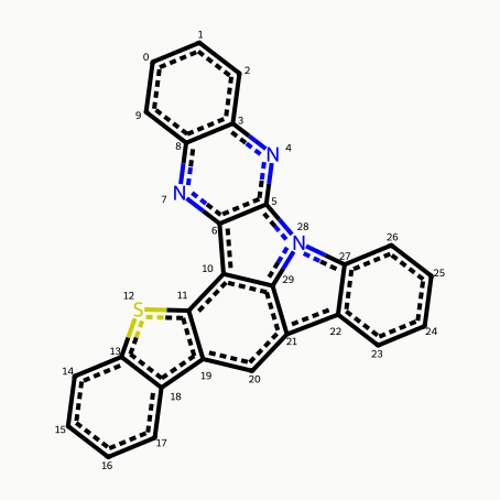 c1ccc2nc3c(nc2c1)c1c2sc4ccccc4c2cc2c4ccccc4n3c21